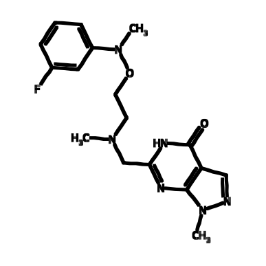 CN(CCON(C)c1cccc(F)c1)Cc1nc2c(cnn2C)c(=O)[nH]1